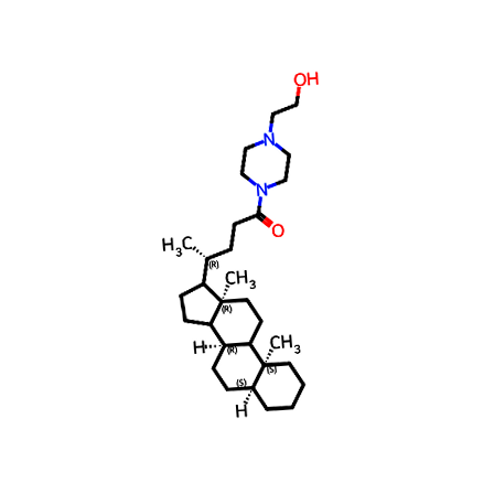 C[C@H](CCC(=O)N1CCN(CCO)CC1)C1CCC2[C@@H]3CC[C@@H]4CCCC[C@]4(C)C3CC[C@@]21C